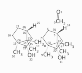 C=O.CC1(C)[C@@H]2CC[C@]1(C)[C@@H](O)C2.CC1(C)[C@@H]2CC[C@]1(C)[C@@H](O)C2